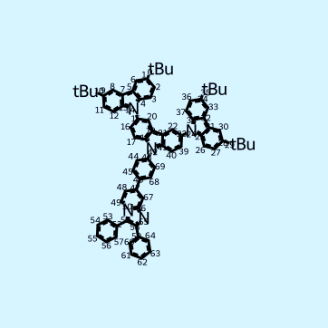 CC(C)(C)c1ccc2c(c1)c1cc(C(C)(C)C)ccc1n2-c1ccc2c(c1)c1cc(-n3c4ccc(C(C)(C)C)cc4c4cc(C(C)(C)C)ccc43)ccc1n2-c1ccc(-c2ccn3c(-c4ccccc4)c(-c4ccccc4)nc3c2)cc1